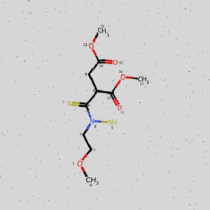 COCCN(S)C(=S)C(CC(=O)OC)C(=O)OC